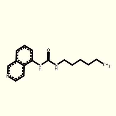 CCCCCCNC(=O)Nc1cccc2cnccc12